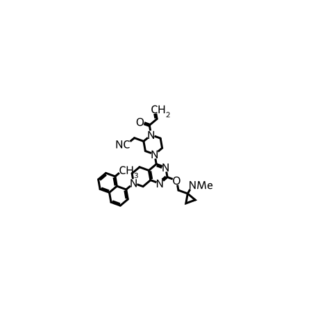 C=CC(=O)N1CCN(c2nc(OCC3(NC)CC3)nc3c2CCN(c2cccc4cccc(C)c24)C3)CC1CC#N